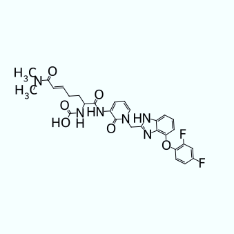 CN(C)C(=O)C=CCCC(NC(=O)O)C(=O)Nc1cccn(Cc2nc3c(Oc4ccc(F)cc4F)cccc3[nH]2)c1=O